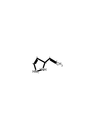 C=CC1C=CNN1